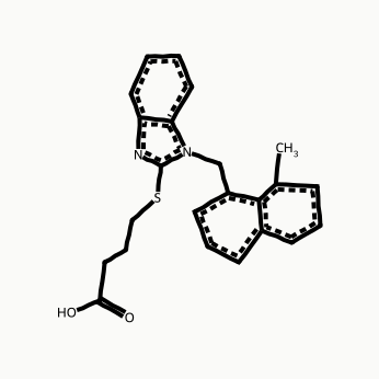 Cc1cccc2cccc(Cn3c(SCCCC(=O)O)nc4ccccc43)c12